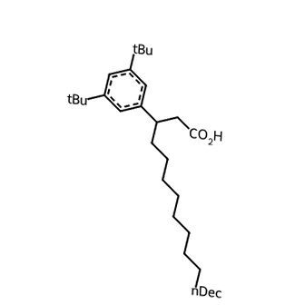 CCCCCCCCCCCCCCCCCCC(CC(=O)O)c1cc(C(C)(C)C)cc(C(C)(C)C)c1